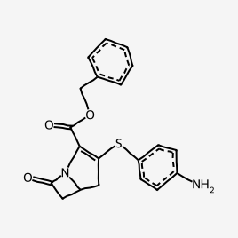 Nc1ccc(SC2=C(C(=O)OCc3ccccc3)N3C(=O)CC3C2)cc1